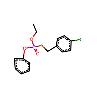 CCOP(=O)(Oc1ccccc1)SCc1ccc(Cl)cc1